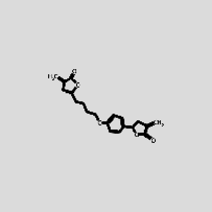 C=C1CC(CCCCOc2ccc(C3CC(=C)C(=O)O3)cc2)OC1=O